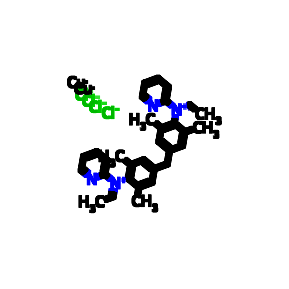 CC=[N+](c1ccccn1)c1c(C)cc(Cc2cc(C)c([N+](=CC)c3ccccn3)c(C)c2)cc1C.[Cl-].[Cl-].[Cl-].[Cl-].[Cu].[Cu]